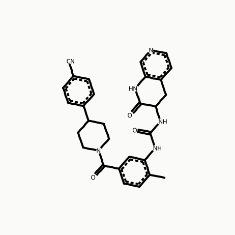 Cc1ccc(C(=O)N2CCC(c3ccc(C#N)cc3)CC2)cc1NC(=O)NC1Cc2ccncc2NC1=O